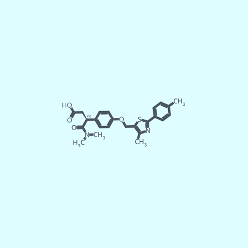 Cc1ccc(-c2nc(C)c(COc3ccc([C@H](CC(=O)O)C(=O)N(C)C)cc3)s2)cc1